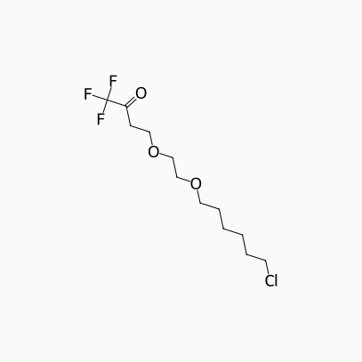 O=C(CCOCCOCCCCCCCl)C(F)(F)F